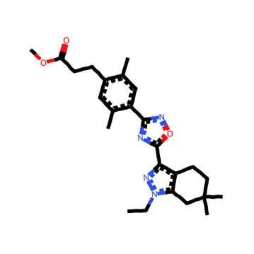 CCn1nc(-c2nc(-c3cc(C)c(CCC(=O)OC)cc3C)no2)c2c1CC(C)(C)CC2